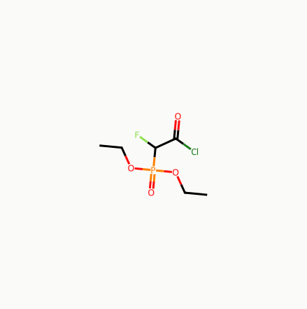 CCOP(=O)(OCC)C(F)C(=O)Cl